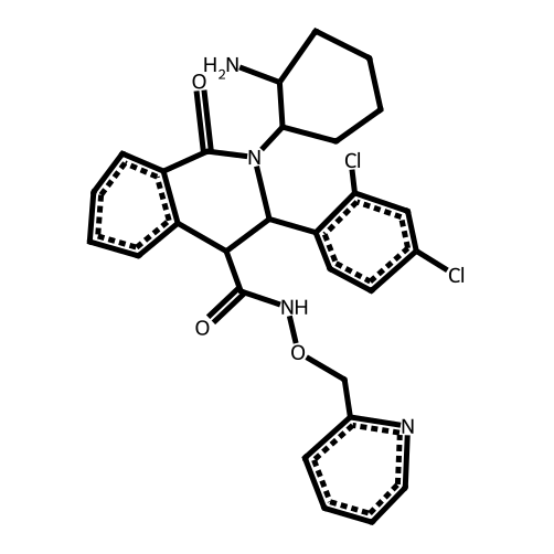 NC1CCCCC1N1C(=O)c2ccccc2C(C(=O)NOCc2ccccn2)C1c1ccc(Cl)cc1Cl